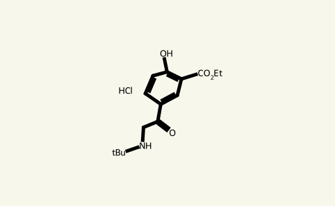 CCOC(=O)c1cc(C(=O)CNC(C)(C)C)ccc1O.Cl